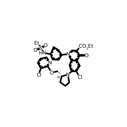 CCOC(=O)c1cn(-c2ccc(NS(=O)(=O)CC)cc2)c2cc(N3CCC[C@@H]3COc3ncccc3Cl)c(Cl)cc2c1=O